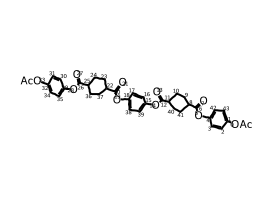 CC(=O)Oc1ccc(OC(=O)C2CCC(C(=O)Oc3ccc(OC(=O)C4CCC(C(=O)Oc5ccc(OC(C)=O)cc5)CC4)cc3)CC2)cc1